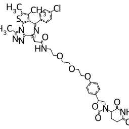 Cc1sc2c(c1C)C(c1ccc(Cl)cc1)=N[C@@H](CC(=O)NCCOCCOCCOc1ccc(C3CN(C4CCC(=O)NC4=O)C(=O)O3)cc1)c1nnc(C)n1-2